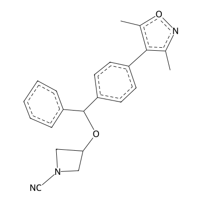 Cc1noc(C)c1-c1ccc(C(OC2CN(C#N)C2)c2ccccc2)cc1